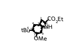 CCOC(=O)c1cc2cc(C(C)(C)C)c(OC)cc2[nH]1